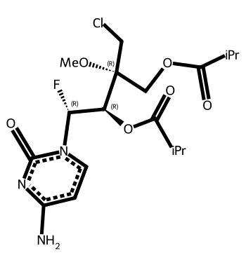 CO[C@](CCl)(COC(=O)C(C)C)[C@@H](OC(=O)C(C)C)[C@@H](F)n1ccc(N)nc1=O